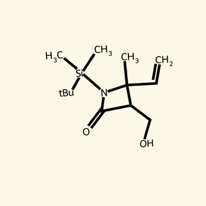 C=CC1(C)C(CO)C(=O)N1[Si](C)(C)C(C)(C)C